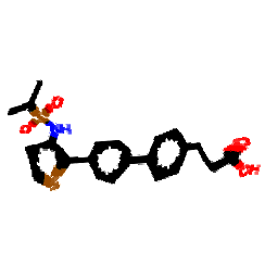 CC(C)S(=O)(=O)Nc1ccsc1-c1ccc(-c2ccc(CCC(=O)O)cc2)cc1